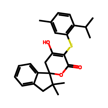 Cc1ccc(C(C)C)c(SC2=C(O)CC3(OC2=O)c2ccccc2CC3(C)C)c1